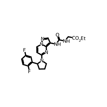 CCOC(=O)CNC(=O)Nc1cnn2ccc(N3CCCC3c3cc(F)ccc3F)nc12